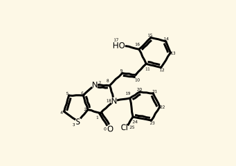 O=c1c2sccc2nc(C=Cc2ccccc2O)n1-c1ccccc1Cl